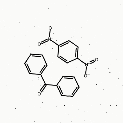 O=C(c1ccccc1)c1ccccc1.O=[N+]([O-])c1ccc([N+](=O)[O-])cc1